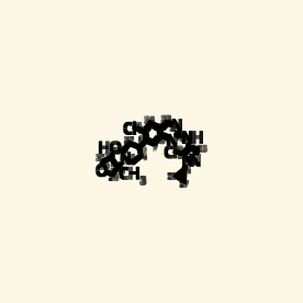 C[C@@]1(N2CCC(c3cc4nc(Nc5cnn(C6CC6)c5Cl)ncc4cc3Cl)CC2)COCC1O